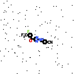 N#Cc1ccc(CNc2ncc(C(=O)c3ccc(F)c(C(F)(F)F)c3)cn2)cc1